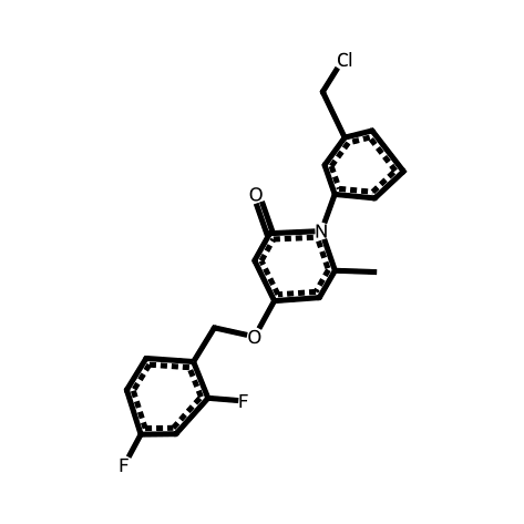 Cc1cc(OCc2ccc(F)cc2F)cc(=O)n1-c1cccc(CCl)c1